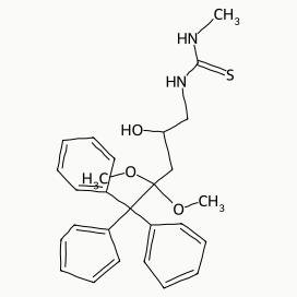 CNC(=S)NCC(O)CC(OC)(OC)C(c1ccccc1)(c1ccccc1)c1ccccc1